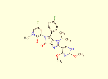 COC1=NC(OC)NC=C1c1nc2c(n1C(C)C)[C@H](c1ccc(Cl)cc1)N(c1cc(Cl)cn(C)c1=O)C2=O